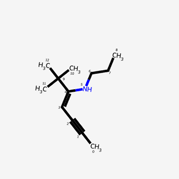 CC#C/C=C(\NCCC)C(C)(C)C